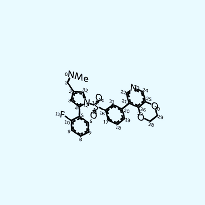 CNCc1cc(-c2ccccc2F)n(S(=O)(=O)c2cccc(-c3cncc4c3OCCO4)c2)c1